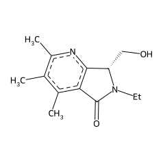 CCN1C(=O)c2c(nc(C)c(C)c2C)[C@@H]1CO